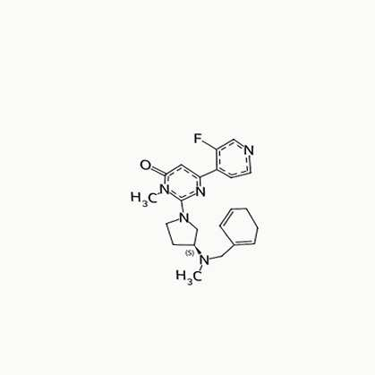 CN(CC1=CCCC=C1)[C@H]1CCN(c2nc(-c3ccncc3F)cc(=O)n2C)C1